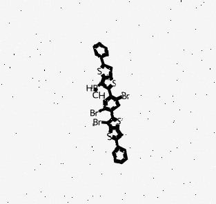 CBc1c(-c2cc(Br)c(-c3sc4cc(-c5ccccc5)sc4c3Br)cc2Br)sc2cc(-c3ccccc3)sc12